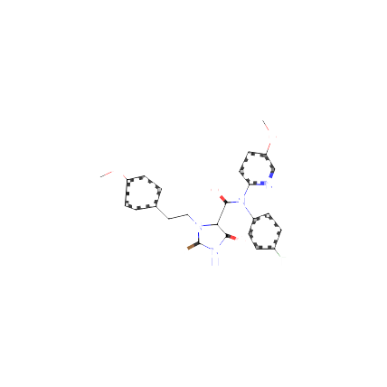 COc1ccc(CCN2C(=S)NC(=O)C2C(=O)N(c2ccc(F)cc2)c2ccc(OC)cn2)cc1